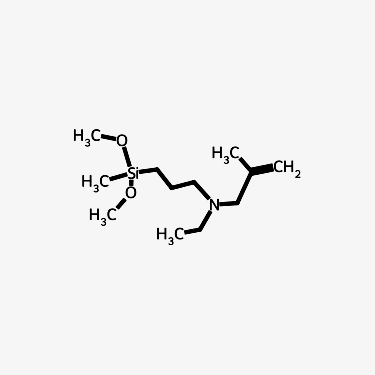 C=C(C)CN(CC)CCC[Si](C)(OC)OC